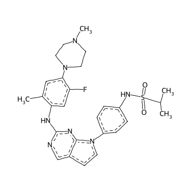 Cc1cc(N2CCN(C)CC2)c(F)cc1Nc1ncc2ccn(-c3ccc(NS(=O)(=O)C(C)C)cc3)c2n1